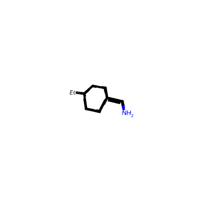 CCC1CCC(=CN)CC1